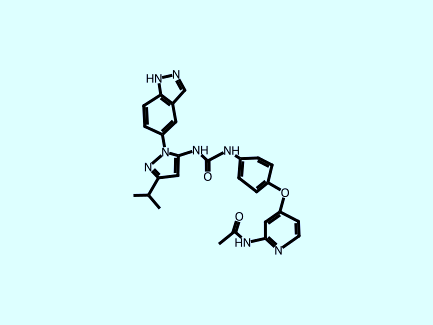 CC(=O)Nc1cc(Oc2ccc(NC(=O)Nc3cc(C(C)C)nn3-c3ccc4[nH]ncc4c3)cc2)ccn1